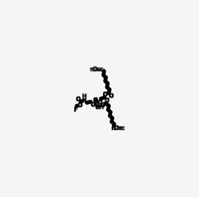 CCCCCCCCCCCCCCCCCC(=O)OC(COP(=O)(O)OCCNC(=O)OCF)OC(=O)CCCCCCCCCCCCCCCCC